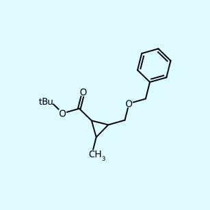 CC1C(COCc2ccccc2)C1C(=O)OC(C)(C)C